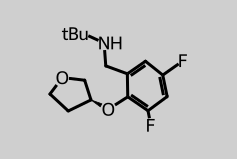 CC(C)(C)NCc1cc(F)cc(F)c1O[C@H]1CCOC1